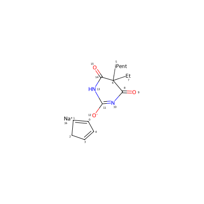 C1=CCC=C1.CCCC(C)C1(CC)C(=O)N=C([O-])NC1=O.[Na+]